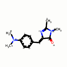 CC1=N/C(=C\c2ccc(N(C)C)cc2)C(=O)N1C